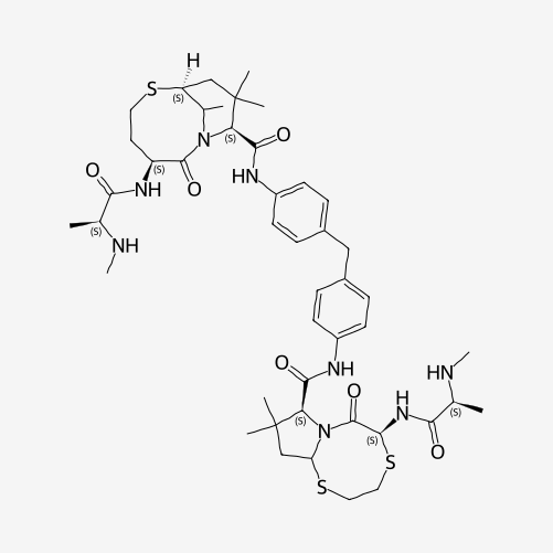 CN[C@@H](C)C(=O)N[C@H]1CCS[C@H]2CC(C)(C)[C@@H](C(=O)Nc3ccc(Cc4ccc(NC(=O)[C@H]5N6C(=O)[C@@H](NC(=O)[C@H](C)NC)SCCSC6CC5(C)C)cc4)cc3)N(C1=O)C2C